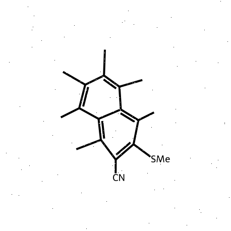 CSc1c(C#N)c(C)c2c(C)c(C)c(C)c(C)c2c1C